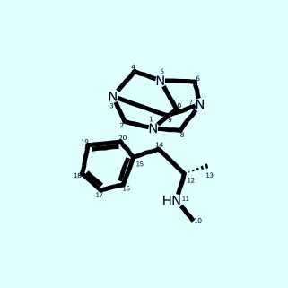 C1N2CN3CN1CN(C2)C3.CN[C@@H](C)Cc1ccccc1